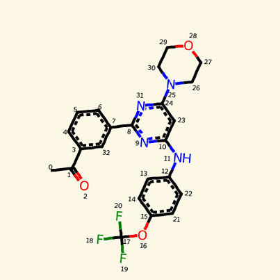 CC(=O)c1cccc(-c2nc(Nc3ccc(OC(F)(F)F)cc3)cc(N3CCOCC3)n2)c1